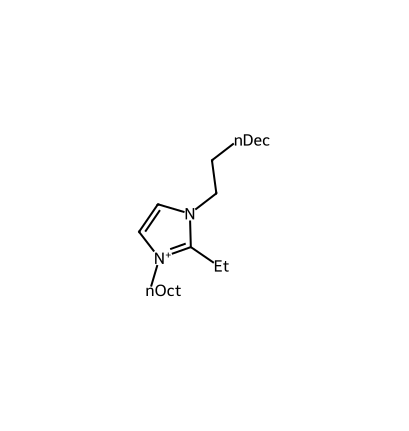 CCCCCCCCCCCCn1cc[n+](CCCCCCCC)c1CC